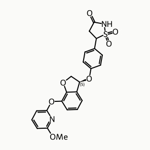 COc1cccc(Oc2cccc3c2OC[C@H]3Oc2ccc(C3CC(=O)NS3(=O)=O)cc2)n1